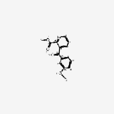 COC(=O)c1ncccc1C(=O)c1cccc(OC)c1